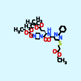 CCOC(=O)CCSc1cc(C(=O)N[C@@H](CCC(=O)OC(C)(C)C)C(=O)N2CCN(OC(=O)OCC)CC2)nc(-c2ccccc2)n1